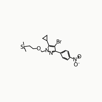 C[Si](C)(C)CCOCn1nc(-c2ccc([N+](=O)[O-])cc2)c(Br)c1C1CC1